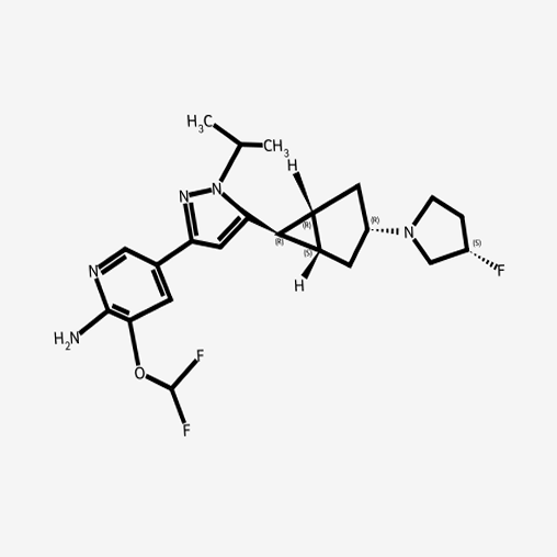 CC(C)n1nc(-c2cnc(N)c(OC(F)F)c2)cc1[C@H]1[C@@H]2C[C@H](N3CC[C@H](F)C3)C[C@@H]21